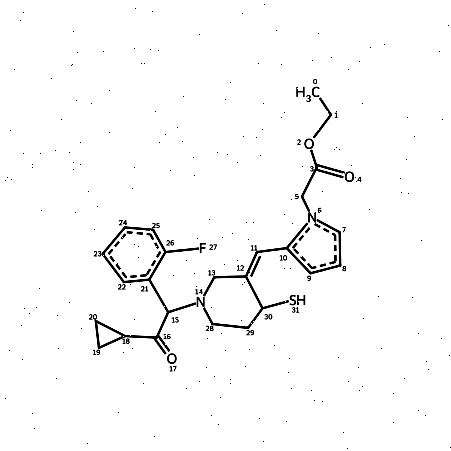 CCOC(=O)Cn1cccc1C=C1CN(C(C(=O)C2CC2)c2ccccc2F)CCC1S